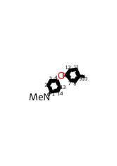 CNc1ccc(Oc2ccc(C)cc2)cc1